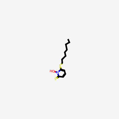 CCCCCCCCSc1cccc(=S)n1O